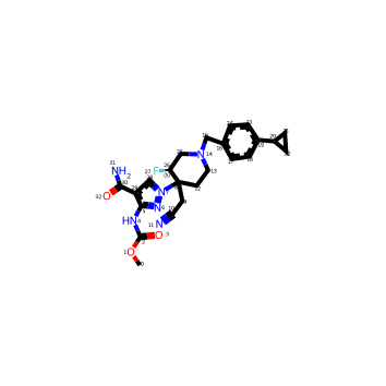 COC(=O)Nc1nn(C2(CC#N)CCN(Cc3ccc(C4CC4)cc3)C[C@@H]2F)cc1C(N)=O